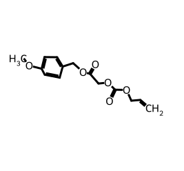 C=CCOC(=O)OCC(=O)OCc1ccc(OC)cc1